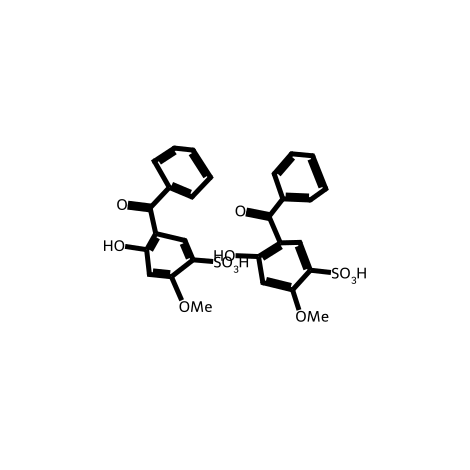 COc1cc(O)c(C(=O)c2ccccc2)cc1S(=O)(=O)O.COc1cc(O)c(C(=O)c2ccccc2)cc1S(=O)(=O)O